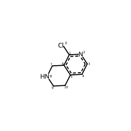 Clc1nccc2c1CNCC2